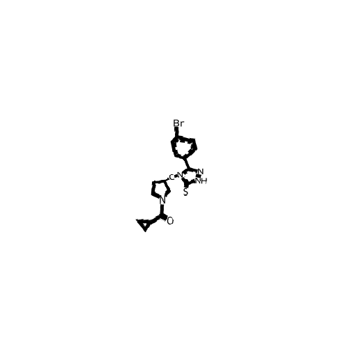 O=C(C1CC1)N1CC[C@@H](Cn2c(-c3ccc(Br)cc3)n[nH]c2=S)C1